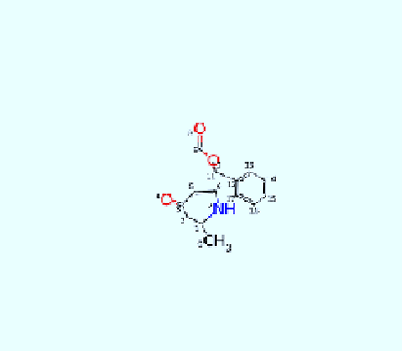 CC1CC(=O)C=CN1.O=COCc1ccccc1